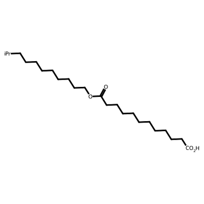 CC(C)CCCCCCCCCOC(=O)CCCCCCCCCCC(=O)O